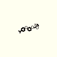 CC(C)c1ccc(Oc2cccc(OCc3ncco3)c2)cc1